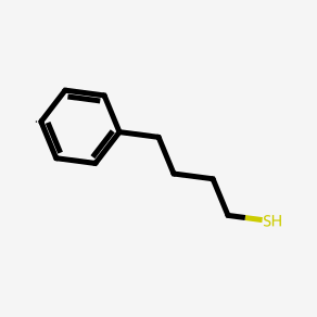 SCCCCc1cc[c]cc1